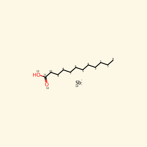 CCCCCCCCCCCC(=O)O.[Sb]